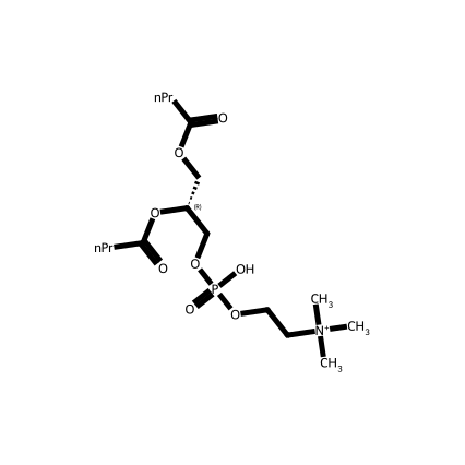 CCCC(=O)OC[C@H](COP(=O)(O)OCC[N+](C)(C)C)OC(=O)CCC